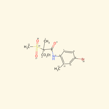 CCOC(=O)C(C)(C(=O)Nc1ccc(Br)cc1C)S(C)(=O)=O